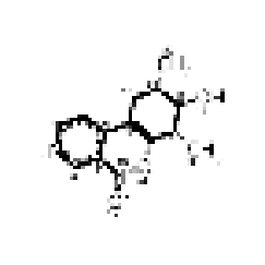 C[C@@H]1C=C(c2ccncc2[N+](=O)[O-])C[C@H](C)[C@H]1O